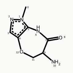 Cn1ncc2c1NC(=O)C(N)CO2